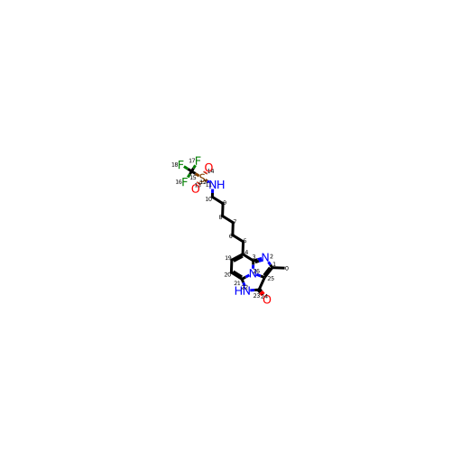 Cc1nc2c(CCCCCCNS(=O)(=O)C(F)(F)F)ccc3[nH]c(=O)c1n32